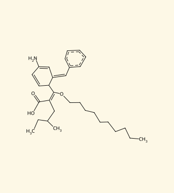 CCCCCCCCCCOC(=C(CC(C)CC)C(=O)O)C1C=CC(N)=CC1=Cc1ccccc1